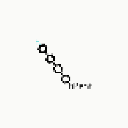 CCCCCC1CCC(C2CCC(c3ccc(-c4ccc(F)cc4)cc3)CC2)CC1